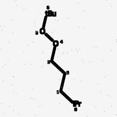 CC(C)CCCOOC(C)(C)C